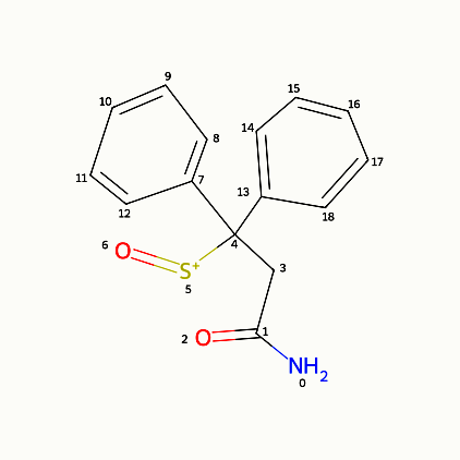 NC(=O)CC([S+]=O)(c1ccccc1)c1ccccc1